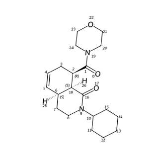 O=C([C@@H]1CC=C[C@@H]2CCN(C3CCCCC3)C(=O)[C@@H]21)N1CCOCC1